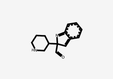 O=CC1(C2CCCNC2)C=c2ccccc2=N1